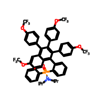 CC(C)N(C(C)C)[P@@](=O)(c1ccccc1)c1ccccc1-c1c(-c2ccc(OC(F)(F)F)cc2)c(-c2ccc(OC(F)(F)F)cc2)c(-c2ccc(OC(F)(F)F)cc2)c2cc(OC(F)(F)F)ccc12